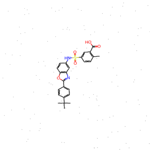 Cc1ccc(S(=O)(=O)Nc2ccc3oc(-c4ccc(C(C)(C)C)cc4)nc3c2)cc1C(=O)O